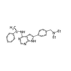 CCN(CC)Cc1ccc(-c2cc3c(N[C@H](C)c4ccccc4)ncnc3[nH]2)cc1